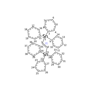 [CH](=[CH]\[Sn]([c]1ccccc1)([c]1ccccc1)[c]1ccccc1)/[Sn]([c]1ccccc1)([c]1ccccc1)[c]1ccccc1